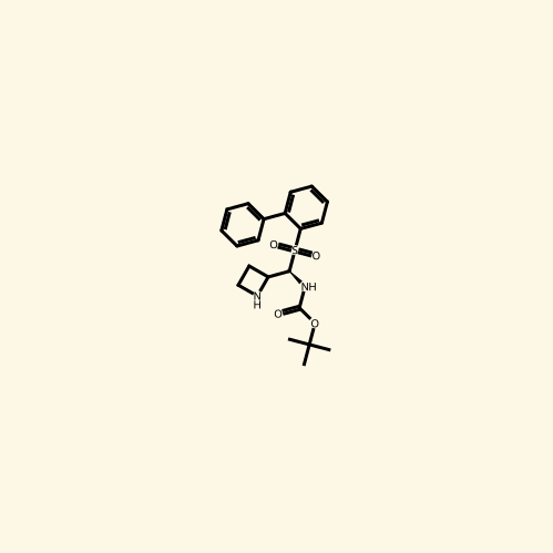 CC(C)(C)OC(=O)N[C@@H](C1CCN1)S(=O)(=O)c1ccccc1-c1ccccc1